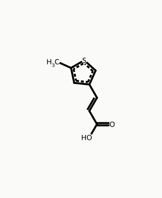 Cc1cc(C=CC(=O)O)cs1